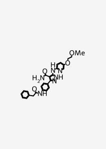 COCCOc1ccc(Nc2[nH]nc(-c3ccc(NC(=O)Cc4ccccc4)cc3)c2C(N)=O)nc1